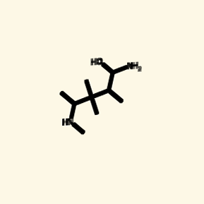 CNC(C)C(C)(C)C(C)C(N)O